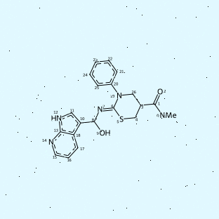 CNC(=O)C1CS/C(=N\C(O)c2c[nH]c3ncccc23)N(c2ccccc2)C1